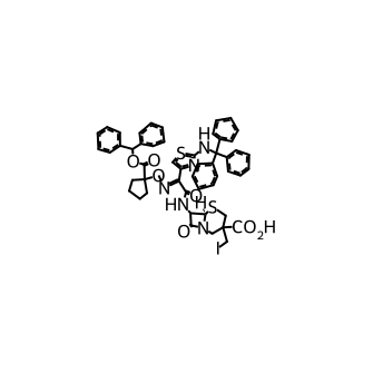 O=C(NC1C(=O)N2CC(CI)(C(=O)O)CS[C@H]12)C(=NOC1(C(=O)OC(c2ccccc2)c2ccccc2)CCCC1)c1csc(NC(c2ccccc2)(c2ccccc2)c2ccccc2)n1